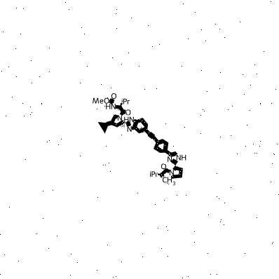 COC(=O)N[C@H](C(=O)N1CC(=C2CC2)C[C@H]1c1nc2cc(C#Cc3ccc(-c4c[nH]c([C@@H]5CCCN5C(=O)[C@@H](C)C(C)C)n4)cc3)ccc2[nH]1)C(C)C